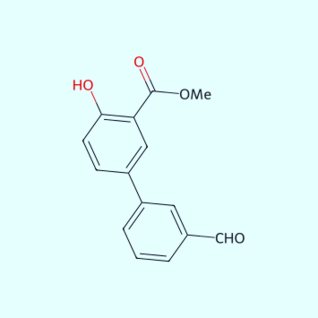 COC(=O)c1cc(-c2cccc(C=O)c2)ccc1O